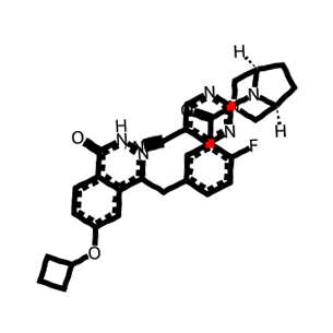 N#Cc1cnc(N2[C@@H]3CC[C@H]2CN(C(=O)c2cc(Cc4n[nH]c(=O)c5ccc(OC6CCC6)cc45)ccc2F)C3)nc1